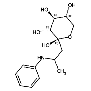 CC(C[C@@]1(O)OC[C@@H](O)[C@H](O)[C@H]1O)Nc1ccccc1